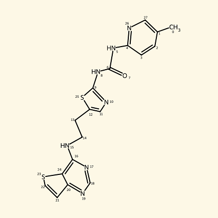 Cc1ccc(NC(=O)Nc2ncc(CCNc3ncnc4ccsc34)s2)nc1